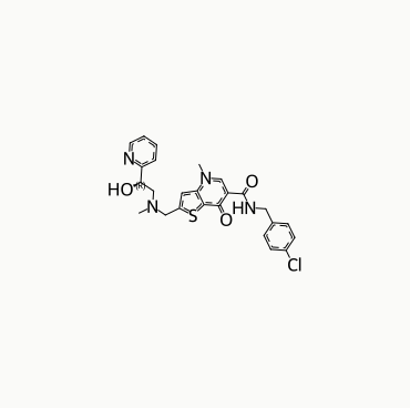 CN(Cc1cc2c(s1)c(=O)c(C(=O)NCc1ccc(Cl)cc1)cn2C)C[C@@H](O)c1ccccn1